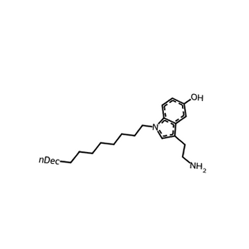 CCCCCCCCCCCCCCCCCCn1cc(CCN)c2cc(O)ccc21